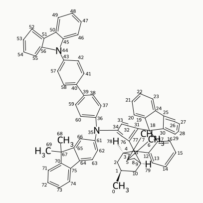 C[C@H]1C[C@@H]2CC(C)(C)C[C@H](C1)C21c2ccccc2C2(c3ccccc3-c3ccccc32)c2ccc(N(c3ccc(-c4ccc(-n5c6ccccc6c6ccccc65)cc4)cc3)c3ccc4c(c3)C(C)(C)c3ccccc3-4)cc21